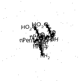 CCCCC[C@H](O)C=C[C@H]1[C@H](O)CC(=O)[C@@H]1CCCCCCC(=O)O.CCCCC[C@H](O)C=C[C@H]1[C@H](O)CC(=O)[C@@H]1CCCCCCC(=O)O.N=C(N)NCCCCN